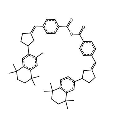 Cc1cc2c(cc1C1CCC(=Cc3ccc(C(=O)OC(=O)c4ccc(C=C5CCC(c6ccc7c(c6)C(C)(C)CCC7(C)C)C5)cc4)cc3)C1)C(C)(C)CCC2(C)C